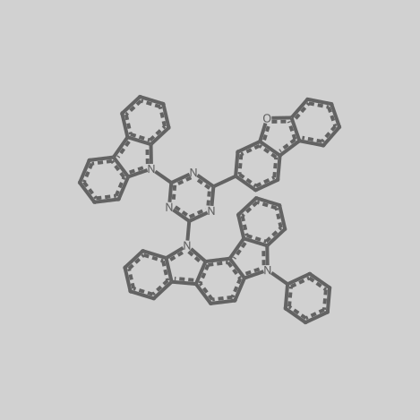 c1ccc(-n2c3ccccc3c3c2ccc2c4ccccc4n(-c4nc(-c5ccc6c(c5)oc5ccccc56)nc(-n5c6ccccc6c6ccccc65)n4)c23)cc1